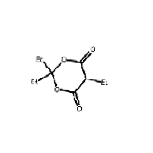 CCC1C(=O)OC(CC)(CC)OC1=O